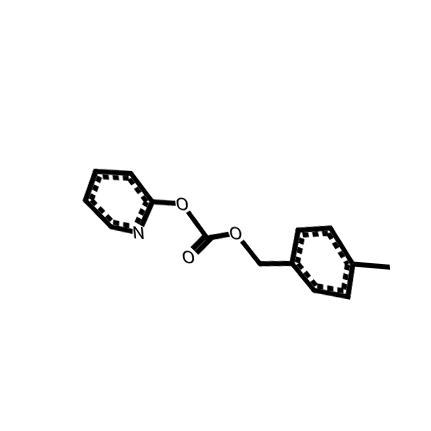 Cc1ccc(COC(=O)Oc2ccccn2)cc1